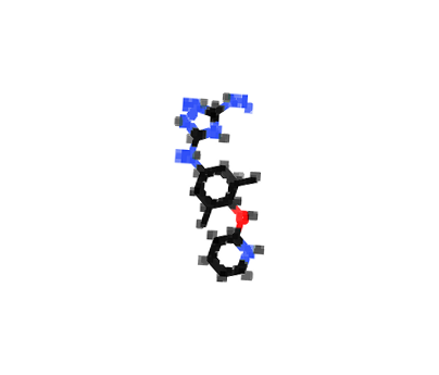 Cc1cc(Nc2n[nH]c(N)n2)cc(C)c1Oc1ccccn1